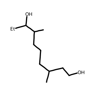 CCC(O)C(C)CCCC(C)CCO